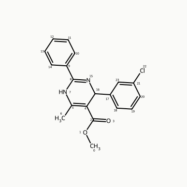 COC(=O)C1=C(C)NC(c2ccccc2)=NC1c1cccc(Cl)c1